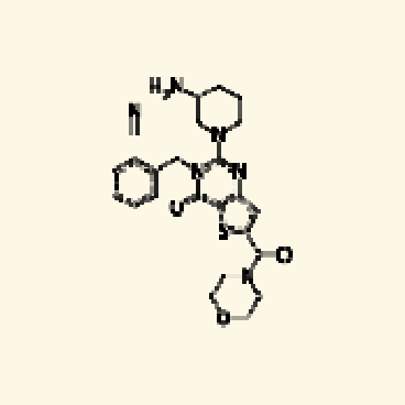 N#Cc1ccccc1Cn1c(N2CCCC(N)C2)nc2cc(C(=O)N3CCOCC3)sc2c1=O